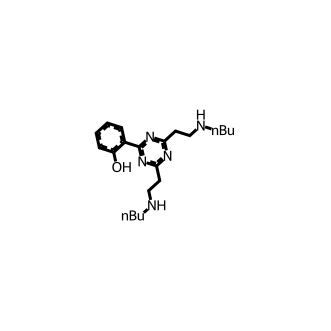 CCCCNCCc1nc(CCNCCCC)nc(-c2ccccc2O)n1